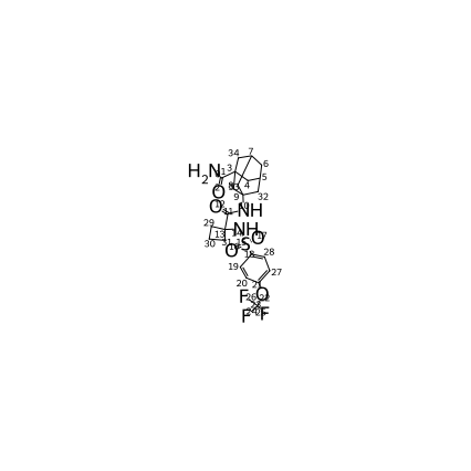 NC(=O)C12CC3CC(CC(NC(=O)C4(NS(=O)(=O)c5ccc(OC(F)(F)F)cc5)CCC4)(C3)C1)C2